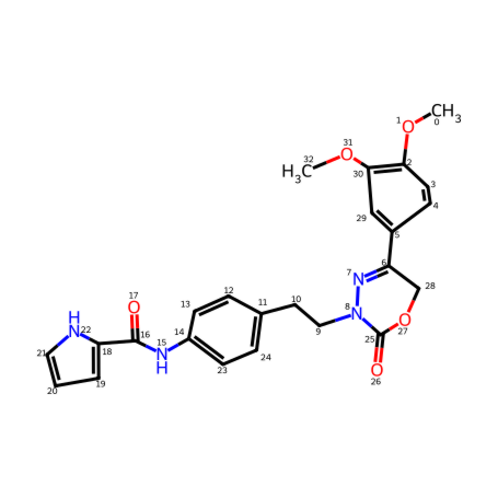 COc1ccc(C2=NN(CCc3ccc(NC(=O)c4ccc[nH]4)cc3)C(=O)OC2)cc1OC